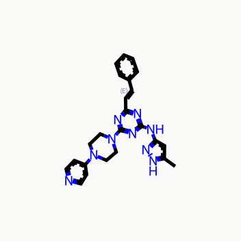 Cc1cc(Nc2nc(/C=C/c3ccccc3)nc(N3CCN(c4ccncc4)CC3)n2)n[nH]1